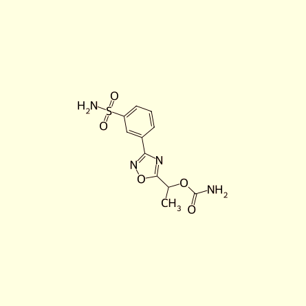 CC(OC(N)=O)c1nc(-c2cccc(S(N)(=O)=O)c2)no1